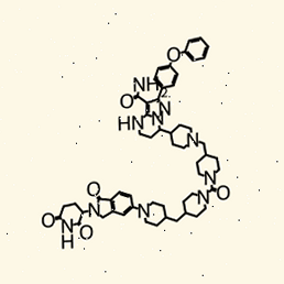 NC(=O)c1c(-c2ccc(Oc3ccccc3)cc2)nn2c1NCCC2C1CCN(CC2CCN(C(=O)N3CCC(CC4CCN(c5ccc6c(c5)CN(C5CCC(=O)NC5=O)C6=O)CC4)CC3)CC2)CC1